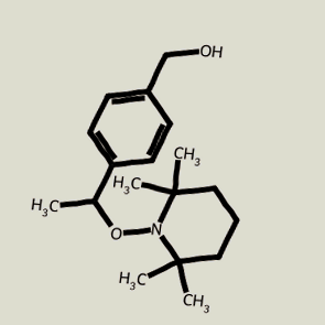 CC(ON1C(C)(C)CCCC1(C)C)c1ccc(CO)cc1